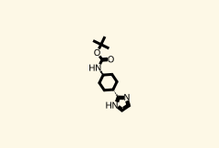 CC(C)(C)OC(=O)N[C@H]1CC[C@H](c2ncc[nH]2)CC1